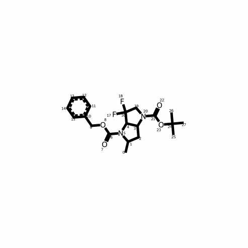 CC1CC2C(N1C(=O)OCc1ccccc1)C(F)(F)CN2C(=O)OC(C)(C)C